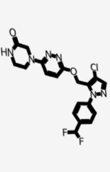 O=C1CN(c2ccc(OCc3c(Cl)cnn3-c3ccc(C(F)F)cc3)nn2)CCN1